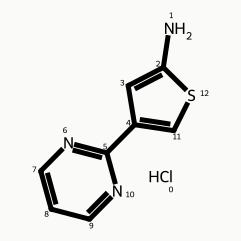 Cl.Nc1cc(-c2ncccn2)cs1